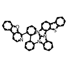 c1ccc(-c2nccc3c2oc2ccccc23)c(-c2ccccc2-n2c3ccccc3n3c4c(ccc5c6ccccc6sc54)nc23)c1